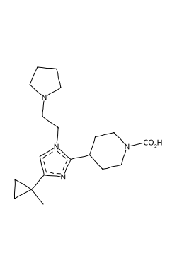 CC1(c2cn(CCN3CCCC3)c(C3CCN(C(=O)O)CC3)n2)CC1